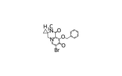 CN1C(=O)c2c(OCc3ccccc3)c(=O)c(Br)cn2CC12CC2